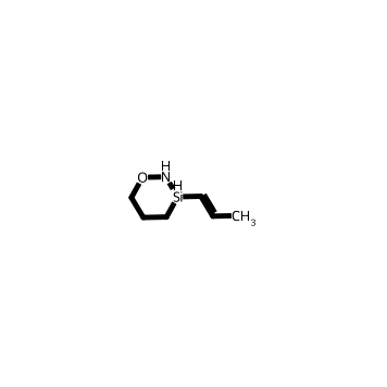 CC=C[SiH]1CCCON1